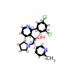 Cc1ccc([C@@H]([C@H](O)c2cccnc2-c2cc(Cl)cc(Cl)c2)N2CCCC2)cn1